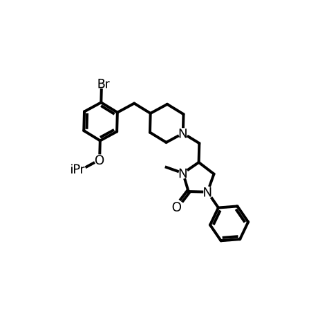 CC(C)Oc1ccc(Br)c(CC2CCN(CC3CN(c4ccccc4)C(=O)N3C)CC2)c1